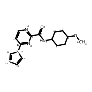 COC1CCC(NC(=O)c2nccc(-n3ccnc3)n2)CC1